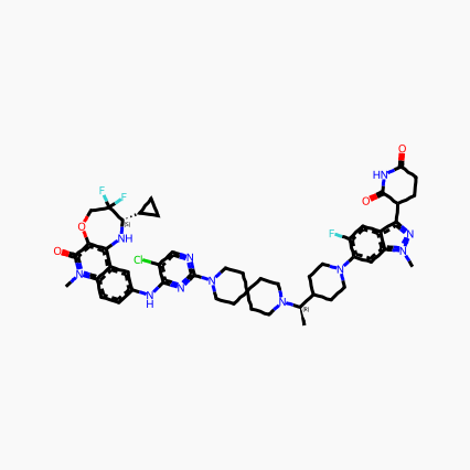 C[C@H](C1CCN(c2cc3c(cc2F)c(C2CCC(=O)NC2=O)nn3C)CC1)N1CCC2(CCN(c3ncc(Cl)c(Nc4ccc5c(c4)c4c(c(=O)n5C)OCC(F)(F)[C@H](C5CC5)N4)n3)CC2)CC1